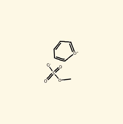 COS(=O)(=O)[O-].c1cc[o+]cc1